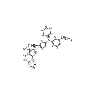 COc1cccc(C(c2cnc(NC(=O)C3(c4ccc5c(c4)OCO5)CC3)s2)N2CCCCC2)c1